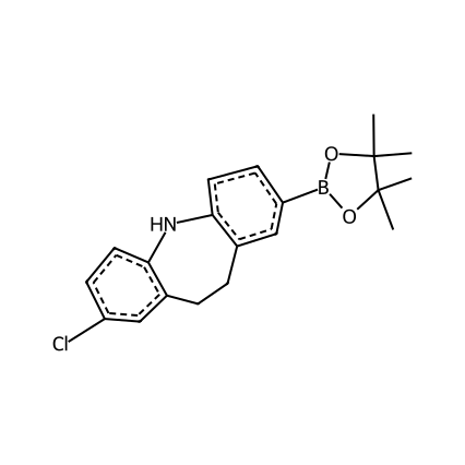 CC1(C)OB(c2ccc3c(c2)CCc2cc(Cl)ccc2N3)OC1(C)C